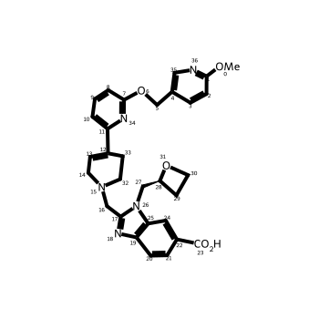 COc1ccc(COc2cccc(C3=CCN(Cc4nc5ccc(C(=O)O)cc5n4C[C@@H]4CCO4)CC3)n2)cn1